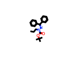 CCCN(N=C(c1ccccc1)c1ccccc1)C(=O)OC(C)(C)C